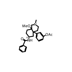 COC12CC[C@H](NC(=O)c3ccccc3)CC1(c1cccc(OC(C)=O)c1)CCN(C)C2